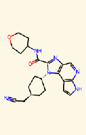 N#CC[C@H]1CC[C@H](n2c(C(=O)NC3CCOCC3)nc3cnc4[nH]ccc4c32)CC1